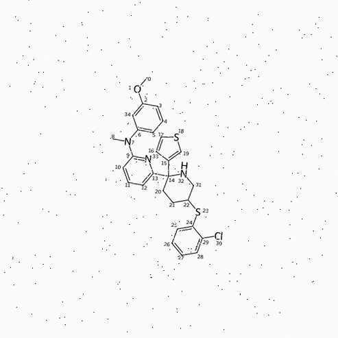 COc1cccc(N(C)c2cccc(C3(c4ccsc4)CCC(Sc4ccccc4Cl)CN3)n2)c1